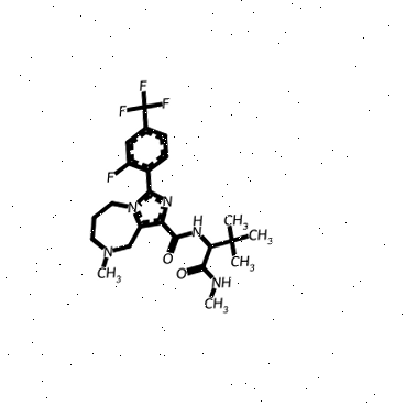 CNC(=O)C(NC(=O)c1nc(-c2ccc(C(F)(F)F)cc2F)n2c1CN(C)CCC2)C(C)(C)C